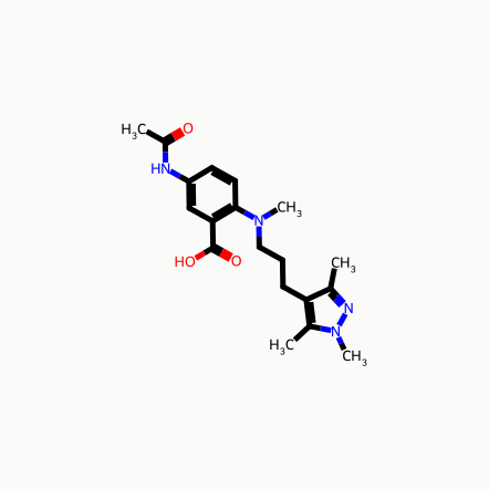 CC(=O)Nc1ccc(N(C)CCCc2c(C)nn(C)c2C)c(C(=O)O)c1